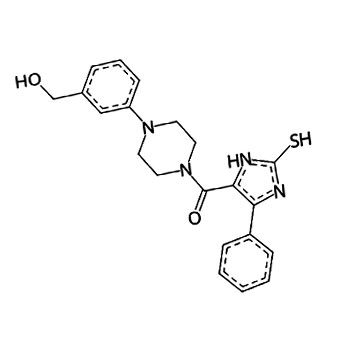 O=C(c1[nH]c(S)nc1-c1ccccc1)N1CCN(c2cccc(CO)c2)CC1